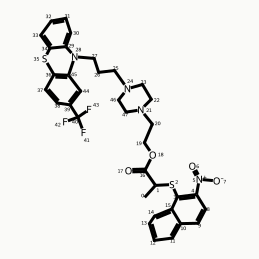 CC(Sc1c([N+](=O)[O-])ccc2ccccc12)C(=O)OCCN1CCN(CCCN2c3ccccc3Sc3ccc(C(F)(F)F)cc32)CC1